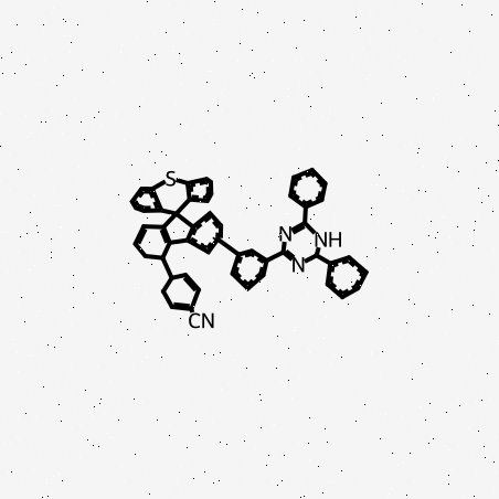 N#CC1=CCC(C2CC=CC3=C2c2cc(-c4cccc(C5=NC(c6ccccc6)NC(c6ccccc6)=N5)c4)ccc2C32c3ccccc3Sc3ccccc32)C=C1